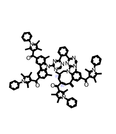 C=C1/C=C(C(=O)c2c(C)c(C)n(-c3ccccc3)c2C)\C=C(\C)CN(c2ncnc(-c3ccccc3-c3ncnc(-n4c5c(C)cc(C(=O)c6c(C)c(C)n(-c7ccccc7)c6C)cc5c5cc(C(=O)c6c(C)c(C)n(-c7ccccc7)c6C)cc(C)c54)n3)n2)c2c(C)cc(C(=O)c3c(C)c(C)n(-c4ccccc4)c3C)cc21